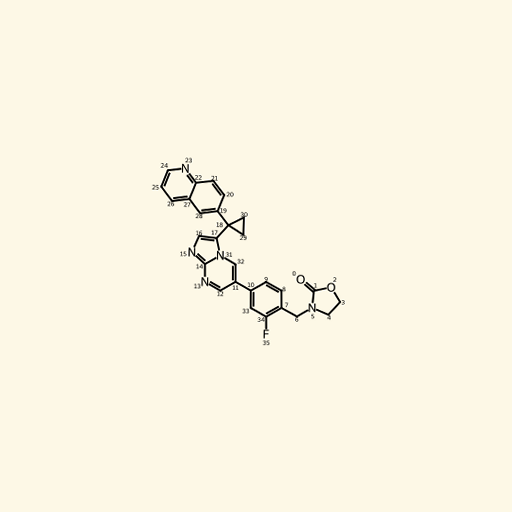 O=C1OCCN1Cc1ccc(-c2cnc3ncc(C4(c5ccc6ncccc6c5)CC4)n3c2)cc1F